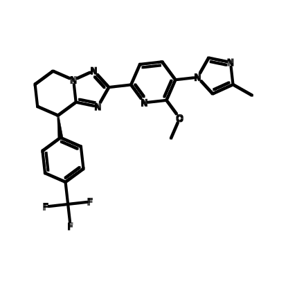 COc1nc(-c2nc3n(n2)CCC[C@@H]3c2ccc(C(F)(F)F)cc2)ccc1-n1cnc(C)c1